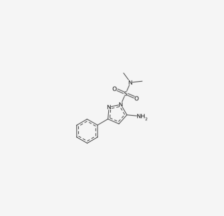 CN(C)S(=O)(=O)n1nc(-c2ccccc2)cc1N